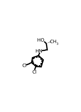 C[C@@H](O)CNc1ccc(Cl)c(Cl)c1